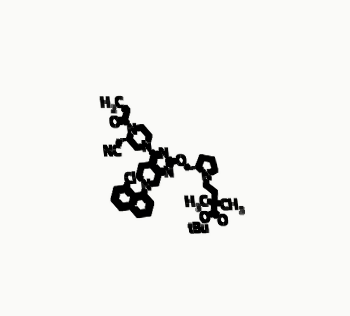 C=CC(=O)N1CCN(c2nc(OC[C@@H]3CCCN3CCC(C)(C)C(=O)OC(C)(C)C)nc3c2CCN(c2cccc4cccc(Cl)c24)C3)C[C@@H]1CC#N